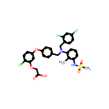 Cc1c(NS(C)(=O)=O)cccc1N(Cc1ccc(Oc2ccc(Cl)c(OCC(=O)O)c2)cc1)Cc1ccc(Cl)cc1F